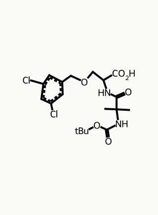 CC(C)(C)OC(=O)NC(C)(C)C(=O)NC(COCc1cc(Cl)cc(Cl)c1)C(=O)O